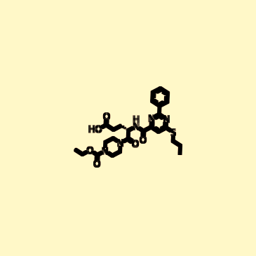 CCCSc1cc(C(=O)N[C@@H](CCC(=O)O)C(=O)N2CCN(C(=O)OCC)CC2)nc(-c2ccccc2)n1